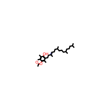 CC(=O)Oc1c(C)c(C)c(O)c(CC/C(C)=C/CCC(C)CCCC(C)CCCC(C)C)c1C